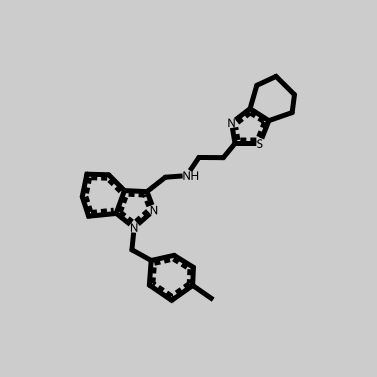 Cc1ccc(Cn2nc(CNCCc3nc4c(s3)CCCC4)c3ccccc32)cc1